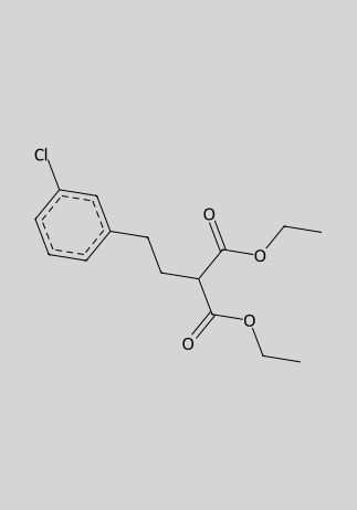 CCOC(=O)C(CCc1cccc(Cl)c1)C(=O)OCC